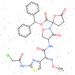 CON=C(C(=O)NC1CON(C2(C(=O)OC(c3ccccc3)c3ccccc3)CCC(=O)O2)C1=O)c1csc(NC(=O)CCl)n1